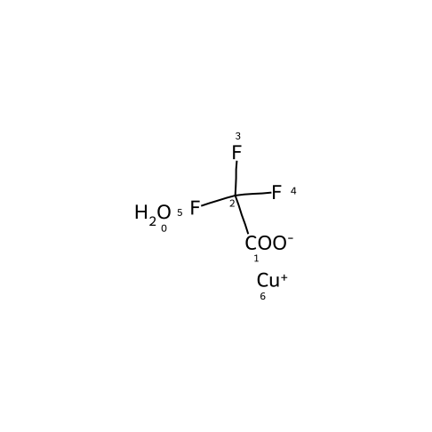 O.O=C([O-])C(F)(F)F.[Cu+]